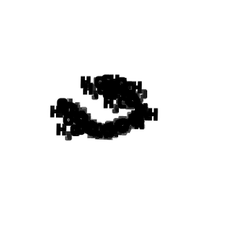 COc1cc(N2CCC(=O)NC2=O)ccc1N1CCC(CN2CCN(c3ccc(-c4cnc5[nH]nc(-c6ccc([C@@H](C)NC(=O)c7noc(C(C)(C)C)n7)c(C)c6)c5c4)cc3)CC2)CC1